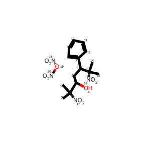 CC(C)(C(O)CC(c1ccccc1)C(C)(C)[N+](=O)[O-])[N+](=O)[O-].O=[N+]([O-])O[N+](=O)[O-]